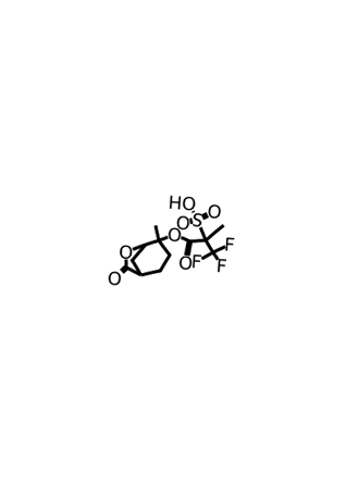 CC1(OC(=O)C(C)(C(F)(F)F)S(=O)(=O)O)CCC2CC1OC2=O